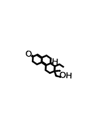 CCC1[C@@H]2CCC3=CC(=O)CCC3=C2CCC1(CC)CO